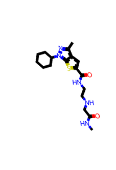 CNC(=O)CNCCNC(=O)c1cc2c(C)nn(C3CCCCC3)c2s1